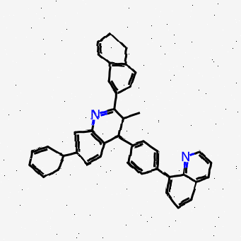 CC1C(c2ccc3c(c2)C=CCC3)=Nc2cc(C3C=CC=CC3)ccc2C1c1ccc(-c2cccc3cccnc23)cc1